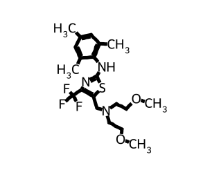 COCCN(CCOC)Cc1sc(Nc2c(C)cc(C)cc2C)nc1C(F)(F)F